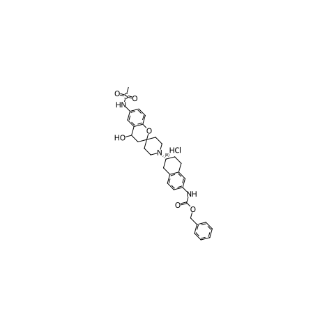 CS(=O)(=O)Nc1ccc2c(c1)C(O)CC1(CCN([C@@H]3CCc4cc(NC(=O)OCc5ccccc5)ccc4C3)CC1)O2.Cl